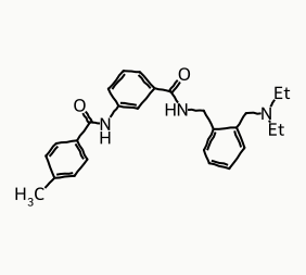 CCN(CC)Cc1ccccc1CNC(=O)c1cccc(NC(=O)c2ccc(C)cc2)c1